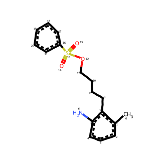 Cc1cccc(N)c1CCCCOS(=O)(=O)c1ccccc1